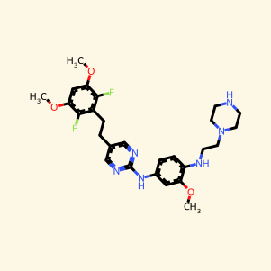 COc1cc(Nc2ncc(CCc3c(F)c(OC)cc(OC)c3F)cn2)ccc1NCCN1CCNCC1